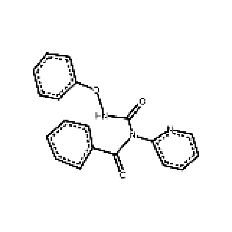 O=C(NOc1ccccc1)N(C(=O)c1ccccc1)c1ccccn1